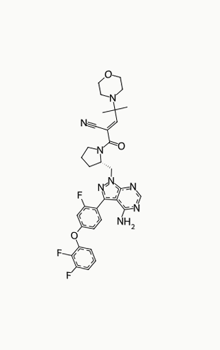 CC(C)(C=C(C#N)C(=O)N1CCC[C@H]1Cn1nc(-c2ccc(Oc3cccc(F)c3F)cc2F)c2c(N)ncnc21)N1CCOCC1